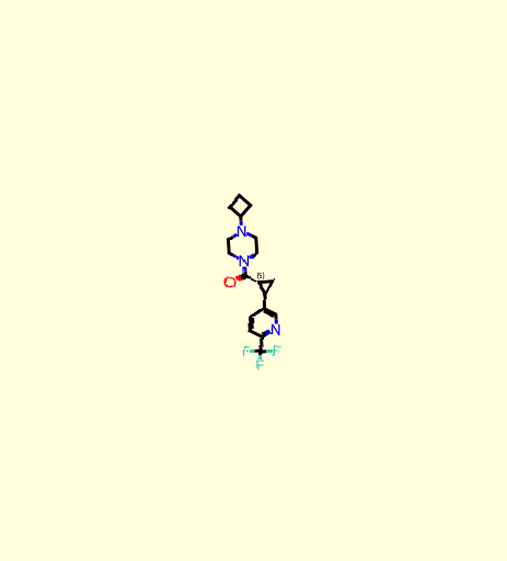 O=C([C@H]1CC1c1ccc(C(F)(F)F)nc1)N1CCN(C2CCC2)CC1